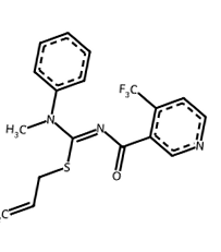 C=CCSC(=NC(=O)c1cnccc1C(F)(F)F)N(C)c1ccccc1